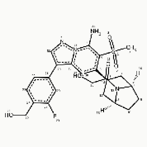 CS(=O)(=O)c1c([C@H]2C[C@H]3CC[C@@H](C2)N3C(=O)CO)nc2c(-c3ccc(CO)c(F)c3)cnn2c1N